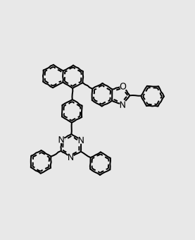 c1ccc(-c2nc(-c3ccccc3)nc(-c3ccc(-c4c(-c5ccc6nc(-c7ccccc7)oc6c5)ccc5ccccc45)cc3)n2)cc1